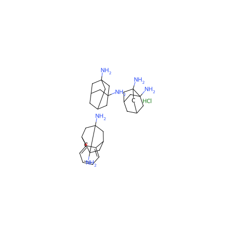 Cl.NC12CC3CC(C1)CC(N)(C3)C2.NC12CC3CC(C1)CC2(N)C3.NC12CC3CC1(N)CC(C2)c1ccccc13